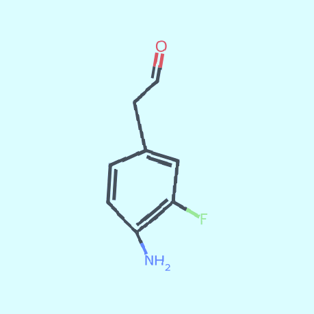 Nc1ccc(CC=O)cc1F